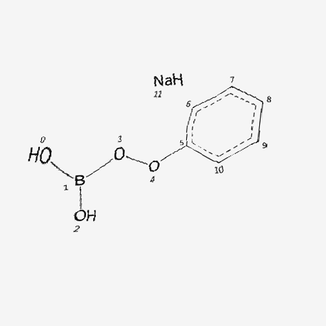 OB(O)OOc1ccccc1.[NaH]